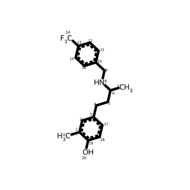 Cc1cc(CCC(C)NCc2ccc(C(F)(F)F)cc2)ccc1O